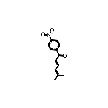 CC(C)=CC=CC(=O)c1ccc([N+](=O)[O-])cc1